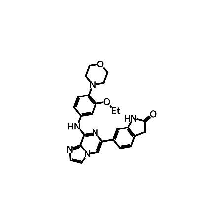 CCOc1cc(Nc2nc(-c3ccc4c(c3)NC(=O)C4)cn3ccnc23)ccc1N1CCOCC1